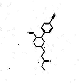 COC(=O)CCC1CCC(C=O)C(c2ccc(C#N)cc2)C1